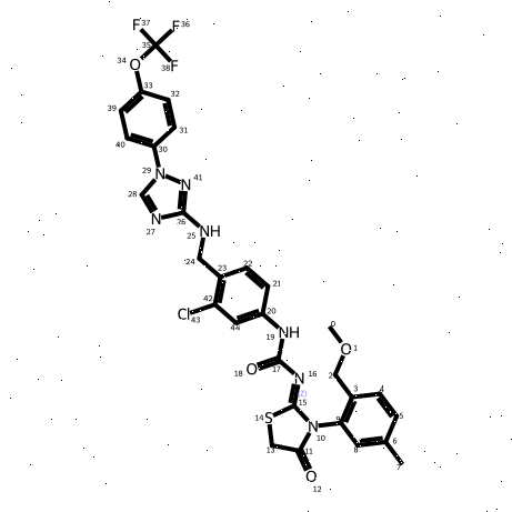 COCc1ccc(C)cc1N1C(=O)CS/C1=N\C(=O)Nc1ccc(CNc2ncn(-c3ccc(OC(F)(F)F)cc3)n2)c(Cl)c1